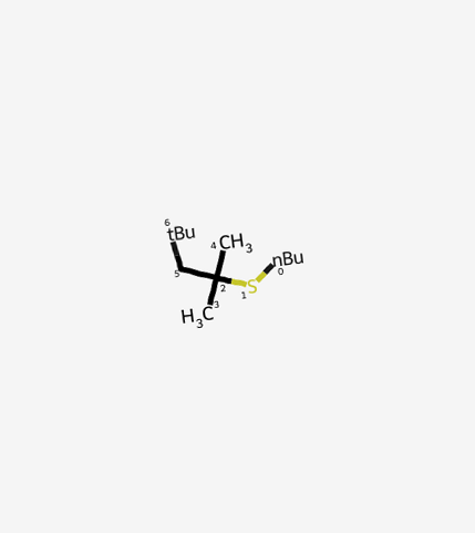 CCCCSC(C)(C)CC(C)(C)C